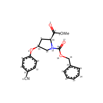 COC(=O)[C@@H]1C[C@H](Oc2ccc(C#N)cc2)CN1C(=O)OCc1ccccc1